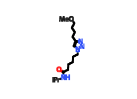 COCCCCc1cn(CCCCCC(=O)NC(C)C)nn1